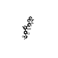 COc1ncc(-c2nc(C)cc(-c3ccc(-n4ccn(C)c4=O)c(Cl)c3)c2O)cc1N1CCC2(CCCN2C(C)C)C1